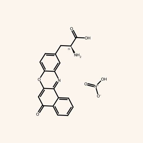 N[C@@H](Cc1ccc2oc3cc(=O)c4ccccc4c-3nc2c1)C(=O)O.O=[N+]([O-])O